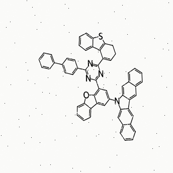 C1=C(c2nc(-c3ccc(-c4ccccc4)cc3)nc(-c3cc(-n4c5cc6ccccc6cc5c5cc6ccccc6cc54)cc4c3oc3ccccc34)n2)c2c(sc3ccccc23)CC1